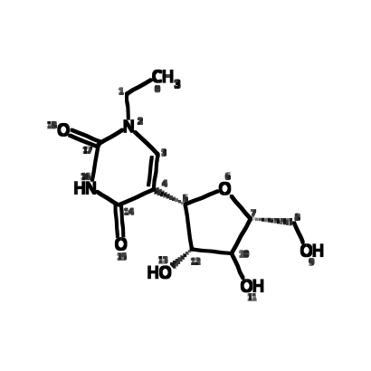 CCn1cc([C@@H]2O[C@H](CO)C(O)[C@@H]2O)c(=O)[nH]c1=O